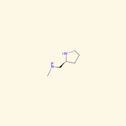 CNC[C@@H]1CCCN1